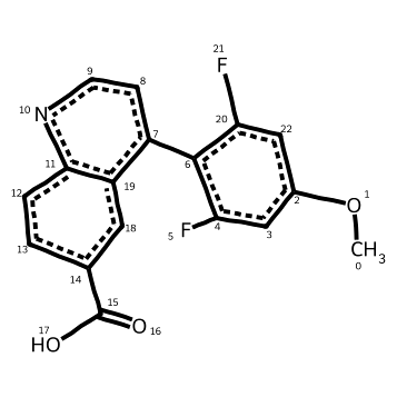 COc1cc(F)c(-c2ccnc3ccc(C(=O)O)cc23)c(F)c1